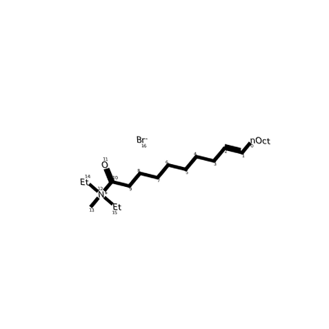 CCCCCCCCC=CCCCCCCCC(=O)[N+](C)(CC)CC.[Br-]